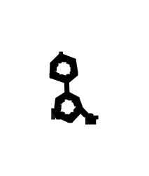 Brc1cncc(-c2cc[c]cc2)c1